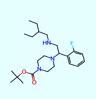 CCC(CC)CNCC(c1ccccc1F)N1CCN(C(=O)OC(C)(C)C)CC1